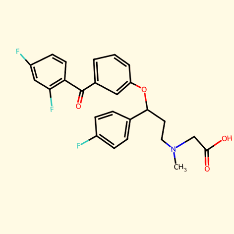 CN(CCC(Oc1cccc(C(=O)c2ccc(F)cc2F)c1)c1ccc(F)cc1)CC(=O)O